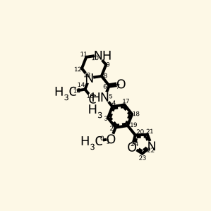 COc1cc(NC(=O)C2CNCCN2C(C)C)ccc1-c1cnco1